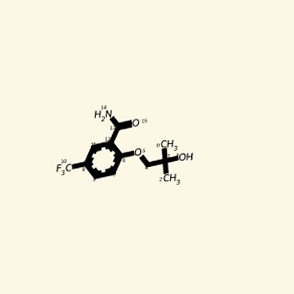 CC(C)(O)COc1ccc(C(F)(F)F)cc1C(N)=O